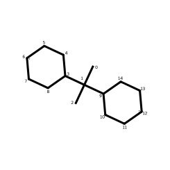 CC(C)(C1CC[C]CC1)C1CC[C]CC1